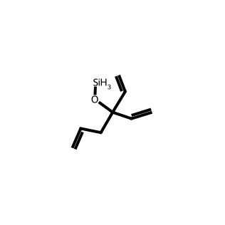 C=CCC(C=C)(C=C)O[SiH3]